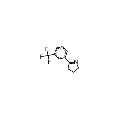 FC(F)(F)c1cccc(C2=NCCC2)c1